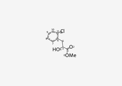 COC(=O)C(O)Cc1ccccc1Cl